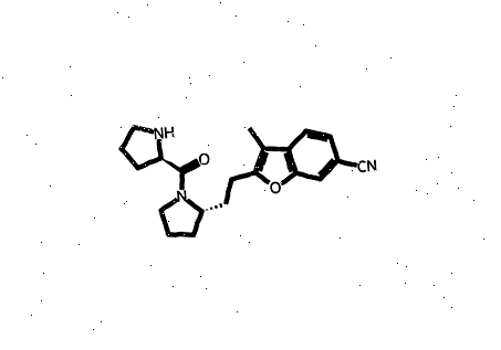 Cc1c(CC[C@@H]2CCCN2C(=O)[C@H]2CCCN2)oc2cc(C#N)ccc12